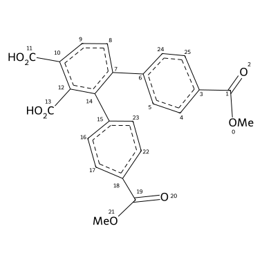 COC(=O)c1ccc(-c2ccc(C(=O)O)c(C(=O)O)c2-c2ccc(C(=O)OC)cc2)cc1